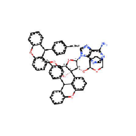 COc1ccc(C2c3ccccc3Oc3cccc(OC[C@H]4O[C@@H](n5cnc6c(N)ncnc65)[C@H](OC5CCCCO5)[C@@]4(O)c4cccc5c4C(c4ccc(OC)cc4)c4ccccc4O5)c32)cc1